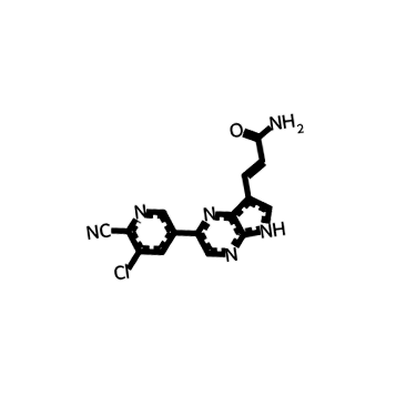 N#Cc1ncc(-c2cnc3[nH]cc(C=CC(N)=O)c3n2)cc1Cl